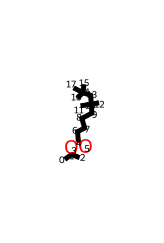 CC(C)OC(=O)CCCCC(C)(C)CC(C)(C)C